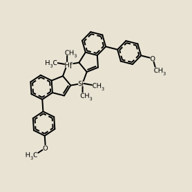 COc1ccc(-c2cccc3c2C=C2[CH]3[Hf]([CH3])([CH3])[CH]3C(=Cc4c(-c5ccc(OC)cc5)cccc43)[Si]2(C)C)cc1